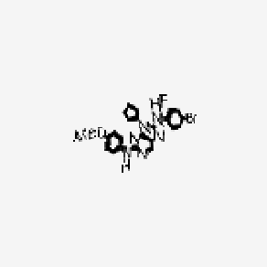 COc1ccc(Nc2ncc3nc(Nc4ccc(Br)cc4F)n(C4CCCC4)c3n2)cc1